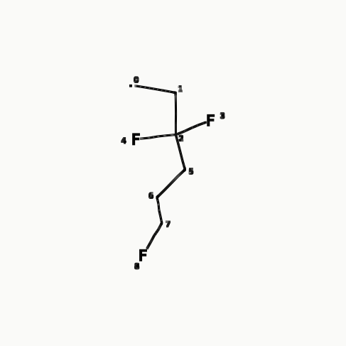 [CH2]CC(F)(F)CCCF